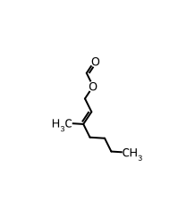 CCCCC(C)=CCOC=O